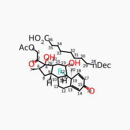 CC(=O)OCC(=O)[C@@]1(O)[C@H](C)C[C@H]2[C@@H]3CCC4=CC(=O)C=C[C@]4(C)[C@@]3(F)C(O)C[C@@]21C.CCCCCCCCCCCCCCCCCC(=O)O